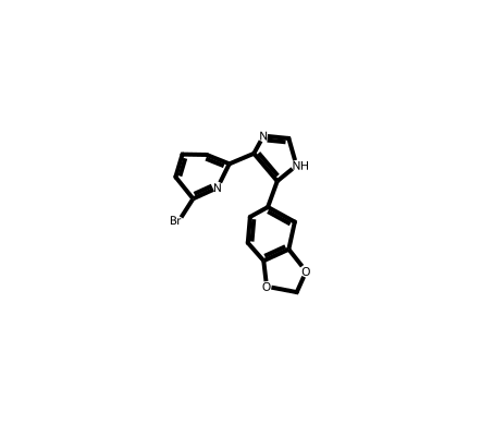 Brc1cccc(-c2nc[nH]c2-c2ccc3c(c2)OCO3)n1